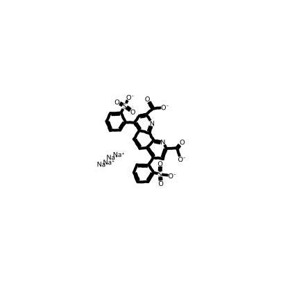 O=C([O-])c1cc(-c2ccccc2S(=O)(=O)[O-])c2ccc3c(-c4ccccc4S(=O)(=O)[O-])cc(C(=O)[O-])nc3c2n1.[Na+].[Na+].[Na+].[Na+]